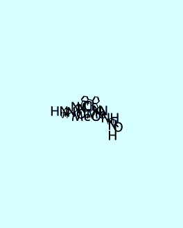 COc1nc(-c2cccc(-c3cccc(-c4cnc(CN5CCN[C@H](C)C5)c(OC)n4)c3Cl)c2Cl)cnc1CNC[C@@H]1CCC(=O)N1